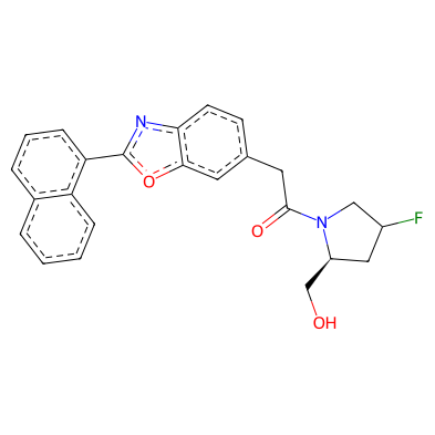 O=C(Cc1ccc2nc(-c3cccc4ccccc34)oc2c1)N1CC(F)C[C@H]1CO